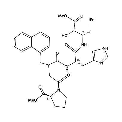 COC(=O)C(O)[C@H](CC(C)C)NC(=O)[C@H](Cc1c[nH]cn1)NC(=O)C(CC(=O)N1CCC[C@H]1C(=O)OC)Cc1cccc2ccccc12